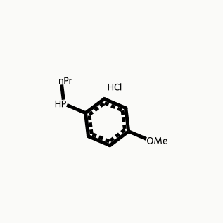 CCCPc1ccc(OC)cc1.Cl